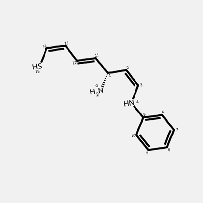 N[C@@H](/C=C\Nc1ccccc1)/C=C/C=C\S